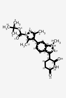 Cc1nn(C(=O)OC(C)(C)C)c(C)c1-c1ccc2c(C3CCC(=O)NC3=O)nn(C)c2c1